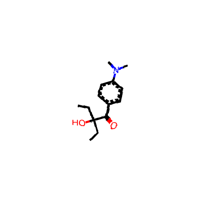 CCC(O)(CC)C(=O)c1ccc(N(C)C)cc1